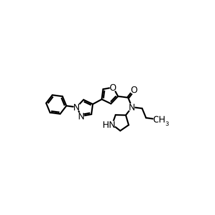 CCCN(C(=O)c1cc(-c2cnn(-c3ccccc3)c2)co1)C1CCNC1